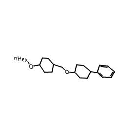 CCCCCCOC1CCC(COC2CCC(c3ccccc3)CC2)CC1